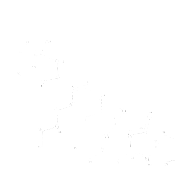 [2H]C([2H])(c1ccc(B2OC(C)(C)C(C)(C)O2)c(COCC)c1)N1C(=O)C2(CCCC2)N=C1CCCC